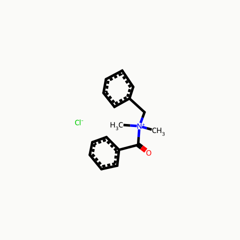 C[N+](C)(Cc1ccccc1)C(=O)c1ccccc1.[Cl-]